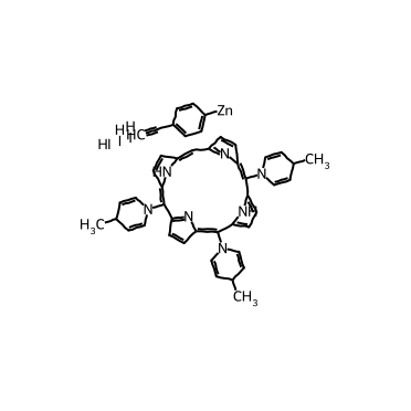 C#Cc1cc[c]([Zn])cc1.CC1C=CN(c2c3nc(c(N4C=CC(C)C=C4)c4ccc([nH]4)c(N4C=CC(C)C=C4)c4nc(cc5ccc2[nH]5)C=C4)C=C3)C=C1.I.I.I